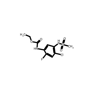 CCOC(=O)Nc1cc(NS(C)(=O)=O)c(Cl)cc1F